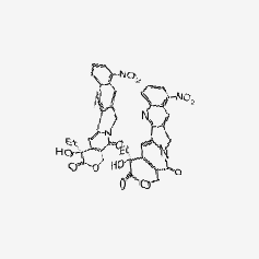 CC[C@@]1(O)C(=O)OCc2c1cc1n(c2=O)Cc2cc3c([N+](=O)[O-])cccc3nc2-1.CC[C@@]1(O)C(=O)OCc2c1cc1n(c2=O)Cc2cc3c([N+](=O)[O-])cccc3nc2-1